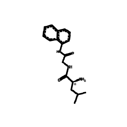 CC(C)C[C@H](N)C(=O)NCC(=O)Nc1cccc2ccccc12